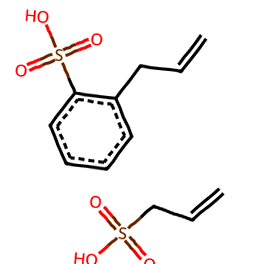 C=CCS(=O)(=O)O.C=CCc1ccccc1S(=O)(=O)O